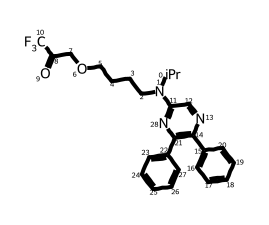 CC(C)N(CCCCOCC(=O)C(F)(F)F)c1cnc(-c2ccccc2)c(-c2ccccc2)n1